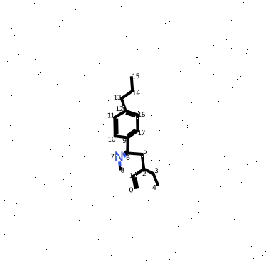 C=CC(CC)C/C(=N\C)c1ccc(CCC)cc1